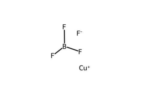 FB(F)F.[Cu+].[F-]